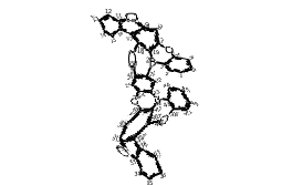 c1ccc2c(c1)Oc1cc3oc4ccccc4c3c3c1B2c1cc2c(cc1O3)Oc1cc3oc4ccccc4c3c3c1B2c1ccccc1O3